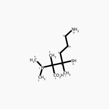 CN(C)C(C)(C(=O)O)C(C)(S)CCCN